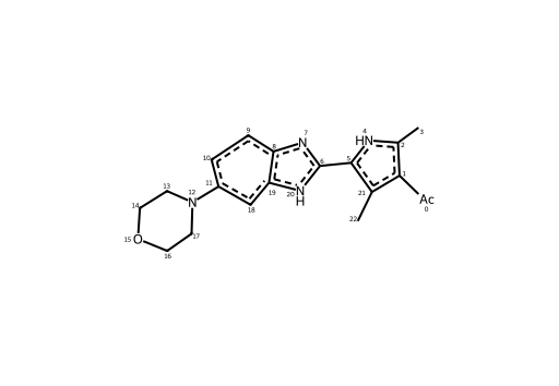 CC(=O)c1c(C)[nH]c(-c2nc3ccc(N4CCOCC4)cc3[nH]2)c1C